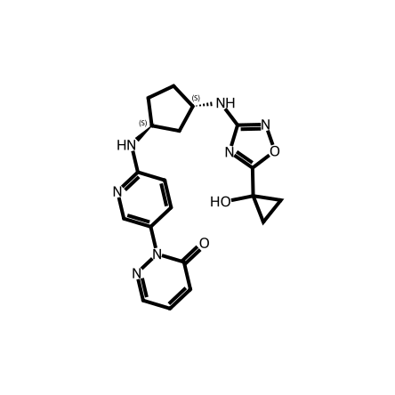 O=c1cccnn1-c1ccc(N[C@H]2CC[C@H](Nc3noc(C4(O)CC4)n3)C2)nc1